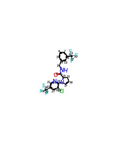 O=C(NCc1cccc(C(F)(F)F)c1)C1CC=CN1c1ncc(C(F)(F)F)cc1Cl